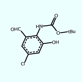 CC(C)(C)OC(=O)Nc1c(O)cc(Cl)cc1C=O